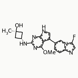 COc1nc(N[C@H]2C[C@](C)(O)C2)nc2[nH]cc(-c3ccc4ncc(F)n4c3)c12